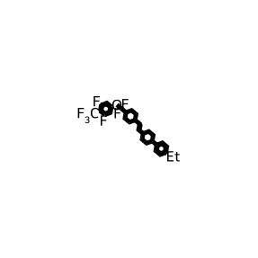 CCc1ccc(C2CCC(/C=C/C3CCC(C(F)(F)Oc4cc(F)c(C(F)(F)F)c(F)c4)CC3)CC2)cc1